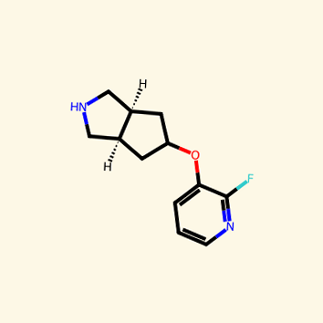 Fc1ncccc1OC1C[C@H]2CNC[C@H]2C1